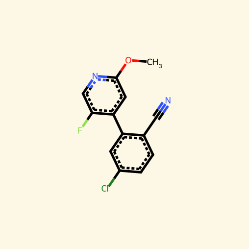 COc1cc(-c2cc(Cl)ccc2C#N)c(F)cn1